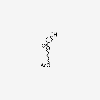 CC(=O)OCCCCCCOC(=O)C1CCC(C)CC1